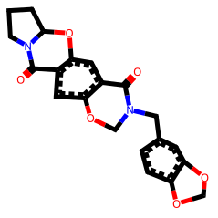 O=C1c2cc3c(cc2OCN1Cc1ccc2c(c1)OCO2)C(=O)N1CCCC1O3